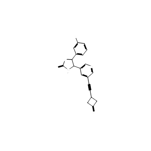 O=C1CC(C#Cc2cncc(C3NC(=O)OC3c3cccc(F)c3)c2)C1